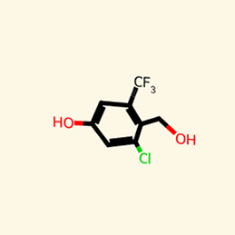 OCc1c(Cl)cc(O)cc1C(F)(F)F